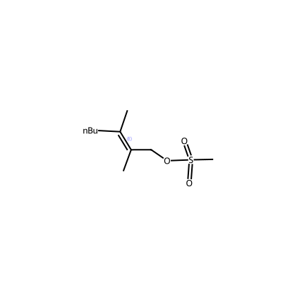 CCCC/C(C)=C(\C)COS(C)(=O)=O